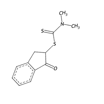 CN(C)C(=S)SC1Cc2ccccc2C1=O